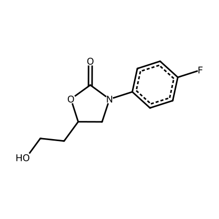 O=C1OC(CCO)CN1c1ccc(F)cc1